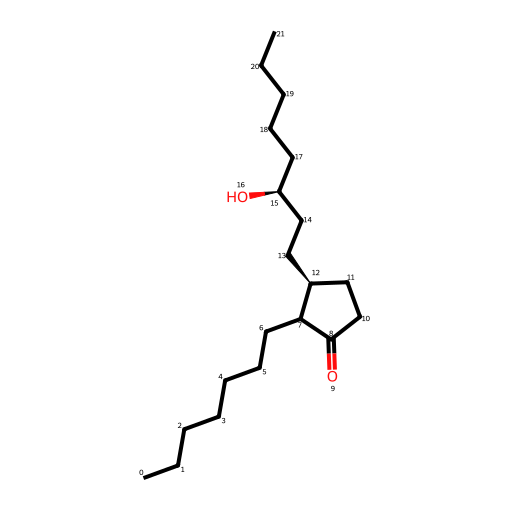 CCCCCCCC1C(=O)CC[C@@H]1CC[C@@H](O)CCCCC